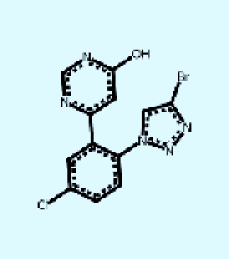 Oc1cc(-c2cc(Cl)ccc2-n2cc(Br)nn2)ncn1